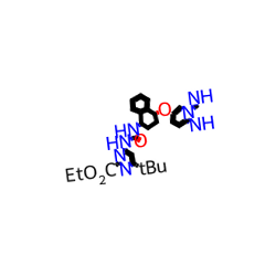 CCOC(=O)c1nc(NC(=O)NC2CCC(Oc3ccc(=N)n(C=N)c3)c3ccccc32)cc(C(C)(C)C)n1